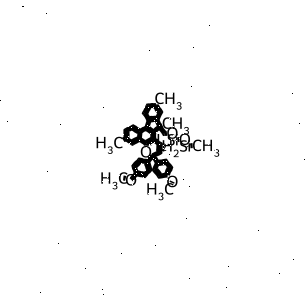 COc1ccc(C2(c3ccc(OC)cc3)C=Cc3c4c(c5ccc(C)cc5c3O2)-c2ccc(C)cc2C4(C)CO[SiH2]O[SiH2]C)cc1